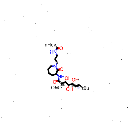 CCCCCCC(=O)NCCCN1CCCCC(NC(=O)[C@H](OC)[C@H](O)[C@@H](O)[C@H](O)/C=C/C(C)(C)C)C1=O